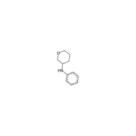 [c]1ccc(NC2CCCOC2)cc1